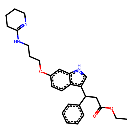 CCOC(=O)CC(c1ccccc1)c1c[nH]c2cc(OCCCNC3=NCCCC3)ccc12